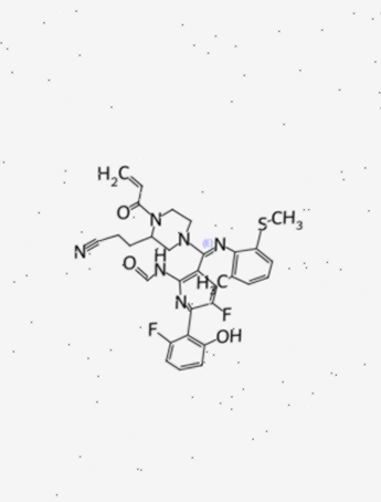 C=CC(=O)N1CCN(/C(=N/c2c(C)cccc2SC)c2cc(F)c(-c3c(O)cccc3F)nc2NC=O)CC1CCC#N